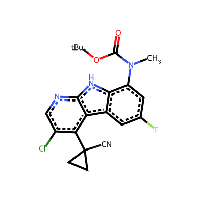 CN(C(=O)OC(C)(C)C)c1cc(F)cc2c1[nH]c1ncc(Cl)c(C3(C#N)CC3)c12